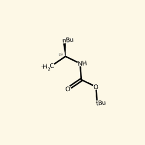 [CH2][C@@H](CCCC)NC(=O)OC(C)(C)C